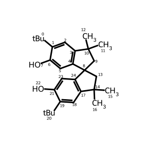 CC(C)(C)c1cc2c(cc1O)C1(CC2(C)C)CC(C)(C)c2cc(C(C)(C)C)c(O)cc21